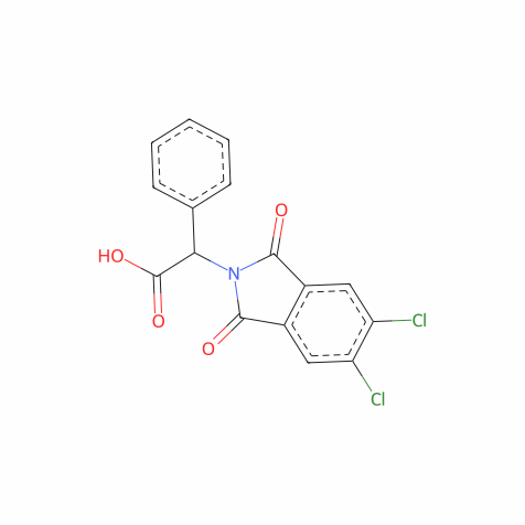 O=C(O)C(c1ccccc1)N1C(=O)c2cc(Cl)c(Cl)cc2C1=O